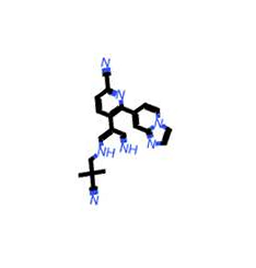 CC(C)(C#N)CN/C=C(\C=N)c1ccc(C#N)nc1-c1ccn2ccnc2c1